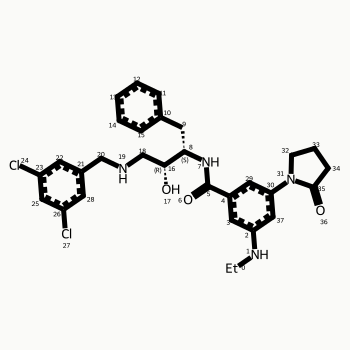 CCNc1cc(C(=O)N[C@@H](Cc2ccccc2)[C@H](O)CNCc2cc(Cl)cc(Cl)c2)cc(N2CCCC2=O)c1